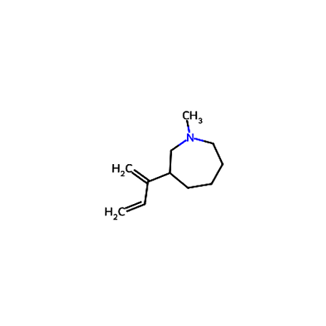 C=CC(=C)C1CCCCN(C)C1